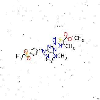 CCOC(=O)c1sc(Nc2nc(N(C)C)c3ncn(Cc4ccc(S(C)(=O)=O)cc4)c3n2)nc1C